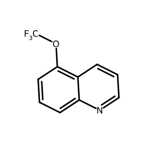 FC(F)(F)Oc1cccc2ncccc12